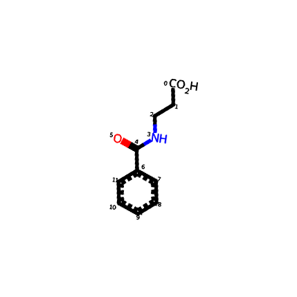 O=C(O)CCNC(=O)c1c[c][c]cc1